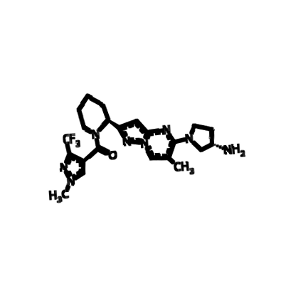 Cc1cn2nc([C@@H]3CCCCN3C(=O)c3cn(C)nc3C(F)(F)F)cc2nc1N1CC[C@H](N)C1